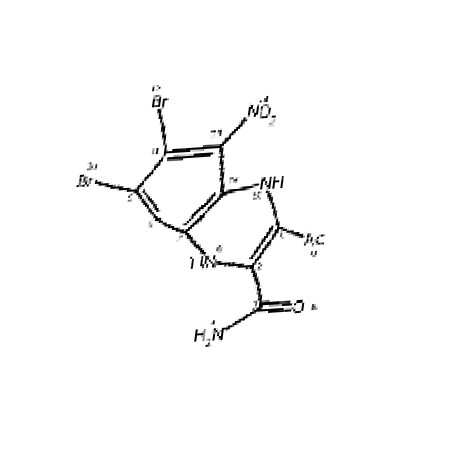 CC(=O)C1=C(C(N)=O)Nc2cc(Br)c(Br)c([N+](=O)[O-])c2N1